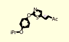 CC(=O)/C=C/c1cnc(Oc2ccc(OC(C)C)cc2)s1